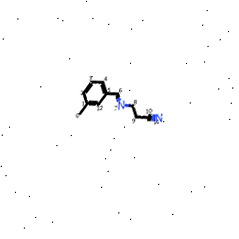 Cc1cccc(C=NCCC#N)c1